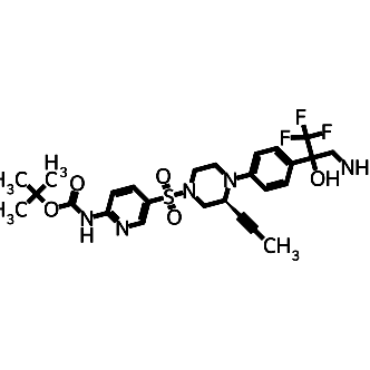 CC#C[C@H]1CN(S(=O)(=O)c2ccc(NC(=O)OC(C)(C)C)nc2)CCN1c1ccc(C(O)(CN)C(F)(F)F)cc1